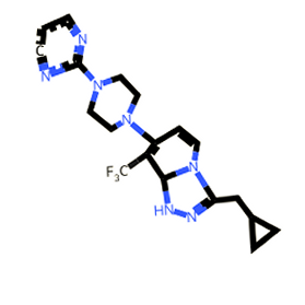 FC(F)(F)C1=C(N2CCN(c3ncccn3)CC2)C=CN2C(CC3CC3)=NNC12